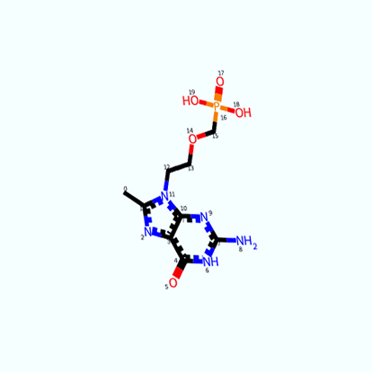 Cc1nc2c(=O)[nH]c(N)nc2n1CCOCP(=O)(O)O